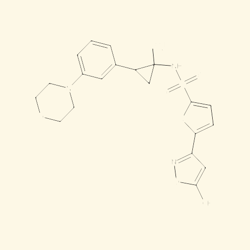 O=C(O)C1(NS(=O)(=O)c2ccc(-c3cc(C(F)(F)F)on3)s2)CC1c1cccc(N2CCOCC2)c1